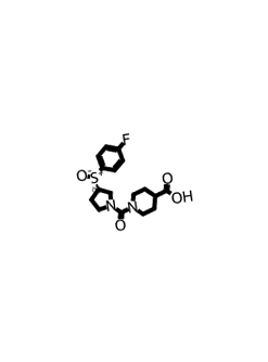 O=C(O)C1CCN(C(=O)N2CC[C@H]([S+]([O-])c3ccc(F)cc3)C2)CC1